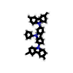 Cc1ccc2c(c1)c1cc(C)ccc1n2-c1ccc2c3ccc(-n4c5ccc(C)cc5c5cc(C)ccc54)cc3n(-c3ccccc3)c2c1